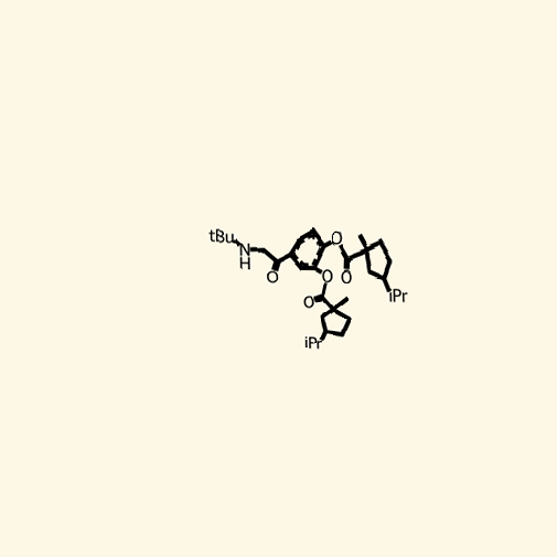 CC(C)C1CCC(C)(C(=O)Oc2ccc(C(=O)CNC(C)(C)C)cc2OC(=O)C2(C)CCC(C(C)C)C2)C1